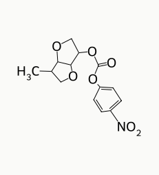 CC1COC2C(OC(=O)Oc3ccc([N+](=O)[O-])cc3)COC12